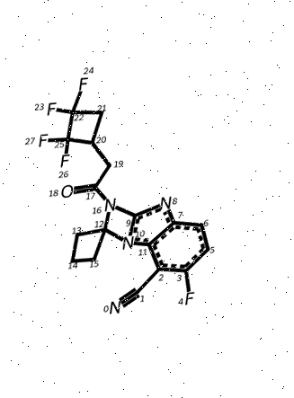 N#Cc1c(F)ccc2nc3n(c12)C1(CCC1)N3C(=O)CC1CC(F)(F)C1(F)F